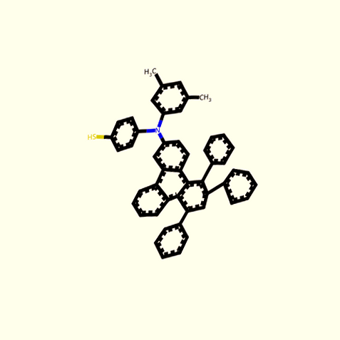 Cc1cc(C)cc(N(c2ccc(S)cc2)c2ccc3c(c2)c2ccccc2c2c(-c4ccccc4)cc(-c4ccccc4)c(-c4ccccc4)c32)c1